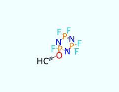 C#COP1(F)=NP(F)(F)=NP(F)(F)=N1